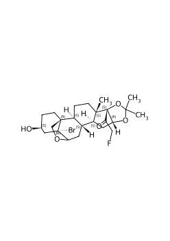 CC1(C)O[C@@H]2C[C@H]3[C@@H]4CC5OC[C@@]6(CC[C@H](O)C[C@]56Br)[C@H]4CC[C@]3(C)[C@]2(C(=O)CF)O1